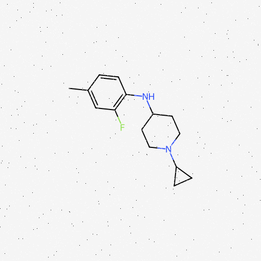 Cc1ccc(NC2CCN(C3CC3)CC2)c(F)c1